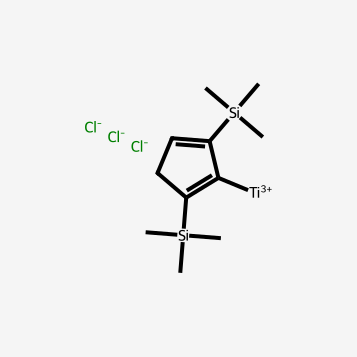 C[Si](C)(C)C1=CCC([Si](C)(C)C)=[C]1[Ti+3].[Cl-].[Cl-].[Cl-]